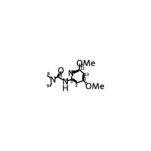 COc1cc(NC(=O)N(C)C)nc(OC)c1